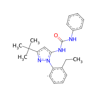 CCc1ccc[c]c1-n1nc(C(C)(C)C)cc1NC(=O)Nc1ccccc1